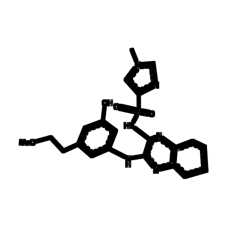 COCCc1cc(O)cc(Nc2nc3ccccc3nc2NS(=O)(=O)c2cn(C)cn2)c1